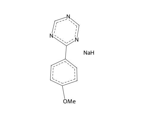 COc1ccc(-c2ncncn2)cc1.[NaH]